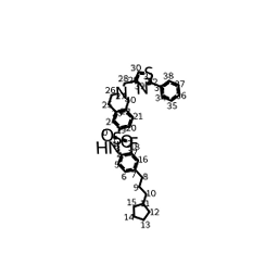 O=S(=O)(Nc1ccc(CCCC2CCCC2)cc1F)c1ccc2c(c1)CCN(Cc1csc(-c3ccccc3)n1)C2